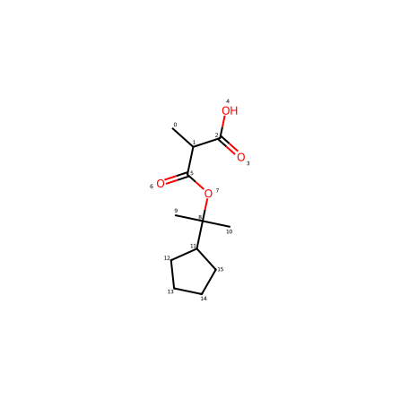 CC(C(=O)O)C(=O)OC(C)(C)C1CCCC1